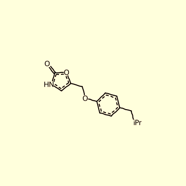 CC(C)Cc1ccc(OCc2c[nH]c(=O)o2)cc1